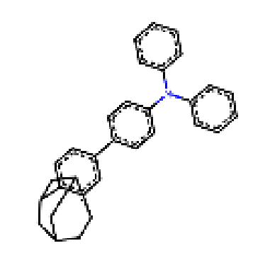 c1ccc(N(c2ccccc2)c2ccc(-c3ccc4c(c3)C3CC5CC(CC4C5)C3)cc2)cc1